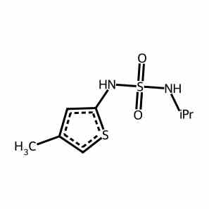 Cc1csc(NS(=O)(=O)NC(C)C)c1